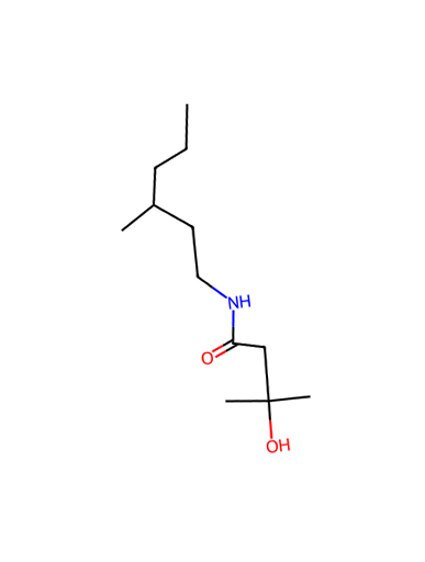 CCCC(C)CCNC(=O)CC(C)(C)O